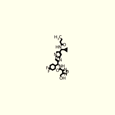 CCCC(=O)N[C@@H](c1cnn2cc([C@@H](NC(=O)c3nonc3CO)C3CCC(F)(F)CC3)nc2c1)C1CC1